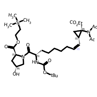 CCOC(=O)[C@@]1(N(C(C)=O)C(C)=O)C[C@H]1/C=C\CCCCC[C@H](NC(=O)OC(C)(C)C)C(=O)N1C[C@H](O)C[C@H]1C(=O)OCC[Si](C)(C)C